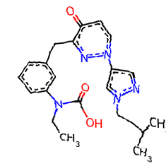 CCN(C(=O)O)c1cccc(Cc2nn(-c3cnn(CC(C)C)c3)ccc2=O)c1